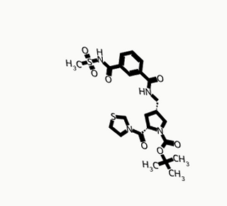 CC(C)(C)OC(=O)N1C[C@@H](CNC(=O)c2cccc(C(=O)NS(C)(=O)=O)c2)C[C@H]1C(=O)N1CCSC1